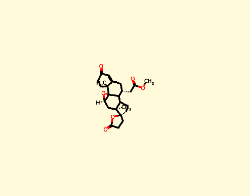 COC(=O)C[C@H]1CC2=CC(=O)CC[C@]2(C)[C@@]23O[C@@H]2C[C@@]2(C)C(CC[C@@]24CCC(=O)O4)C13